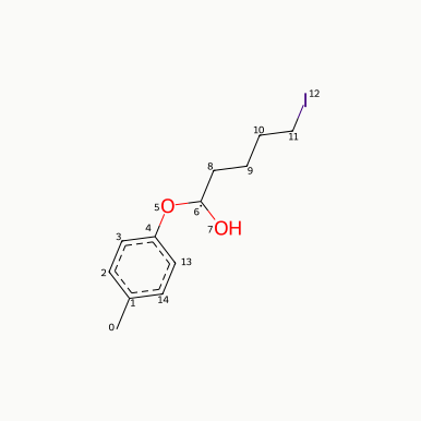 Cc1ccc(O[C](O)CCCCI)cc1